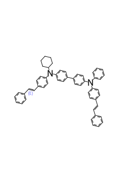 C(=Cc1ccc(N(c2ccccc2)c2ccc(-c3ccc(N(c4ccc(/C=C/c5ccccc5)cc4)C4CCCCC4)cc3)cc2)cc1)c1ccccc1